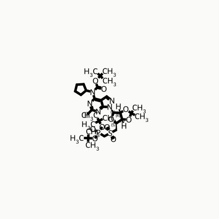 CC(C)(C)OC(=O)N(c1nc(Cl)nc2c1cnn2[C@@H]1O[C@H](CS(=O)(=O)CP(=O)(OC(C)(C)C)OC(C)(C)C)[C@H]2OC(C)(C)O[C@H]21)C1CCCC1